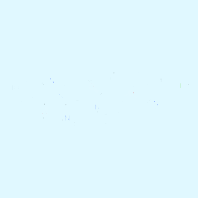 Cc1cnc(-n2cncc(C(C)(C)C(=O)O)c2=O)cc1-n1c(C)cc(OCc2ncc(F)cc2F)c(Cl)c1=O